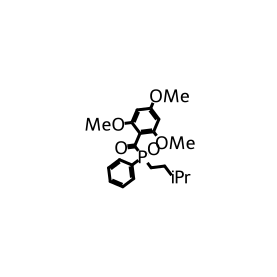 COc1cc(OC)c(C(=O)P(=O)(CCC(C)C)c2ccccc2)c(OC)c1